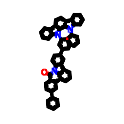 O=c1c2ccc(-c3ccccc3)cc2c2cccc3c4cc(-c5cccc(-n6c7ccccc7c7ccc8c9ccccc9n(-c9ccccc9)c8c76)c5)ccc4n1c23